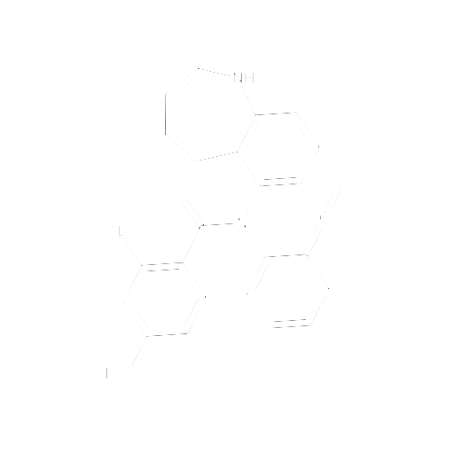 Cc1ccc(C(=O)N(C2=CC=CCC2=C=O)c2cccc3c2C=CC=CN3)c(Cl)c1